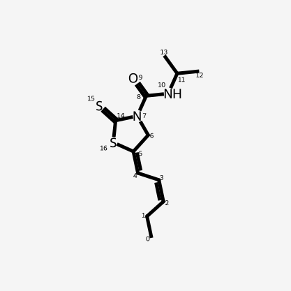 CC/C=C\C=C1/CN(C(=O)NC(C)C)C(=S)S1